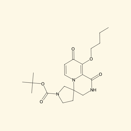 CCCCOc1c2n(ccc1=O)C1(CCN(C(=O)OC(C)(C)C)C1)CNC2=O